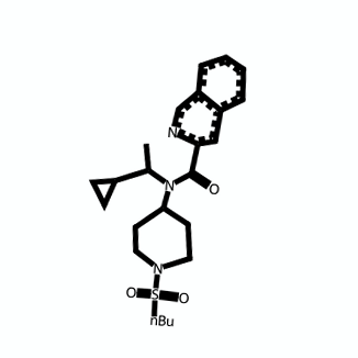 CCCCS(=O)(=O)N1CCC(N(C(=O)c2cc3ccccc3cn2)C(C)C2CC2)CC1